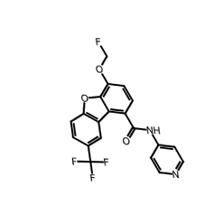 O=C(Nc1ccncc1)c1ccc(OCF)c2oc3ccc(C(F)(F)F)cc3c12